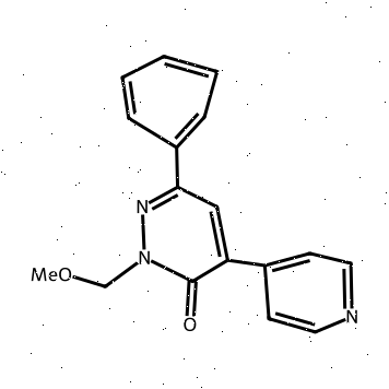 COCn1nc(-c2ccccc2)cc(-c2ccncc2)c1=O